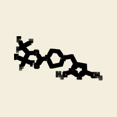 Cc1cc(CN2CCN(C(=O)OC(C(F)(F)F)C(F)(F)F)CC2)n(C)n1